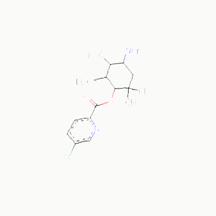 CC1C(N)CC(C)(C)C(OC(=O)c2ccc(Cl)cn2)C1C